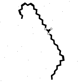 CC/C=C\C/C=C\C/C=C\CCCCCCCCOC(=O)OCCCCCCCC/C=C\CCCCCCCC